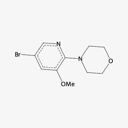 COc1cc(Br)cnc1N1CCOCC1